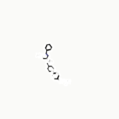 O=C(O)c1cnc(N2CCC(CNC(/C=C/c3ccccc3)CO)CC2)nc1